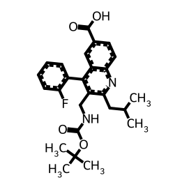 CC(C)Cc1nc2ccc(C(=O)O)cc2c(-c2ccccc2F)c1CNC(=O)OC(C)(C)C